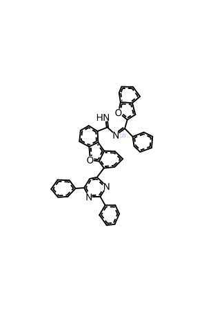 N=C(/N=C(/c1ccccc1)c1cc2ccccc2o1)c1cccc2oc3c(-c4cc(-c5ccccc5)nc(-c5ccccc5)n4)cccc3c12